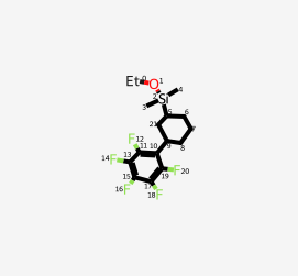 CCO[Si](C)(C)C1CCCC(c2c(F)c(F)c(F)c(F)c2F)C1